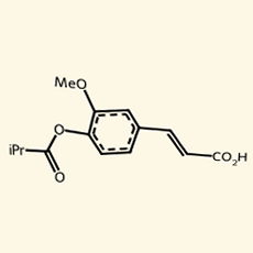 COc1cc(/C=C/C(=O)O)ccc1OC(=O)C(C)C